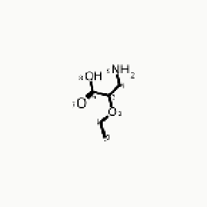 [CH2]COC(CN)C(=O)O